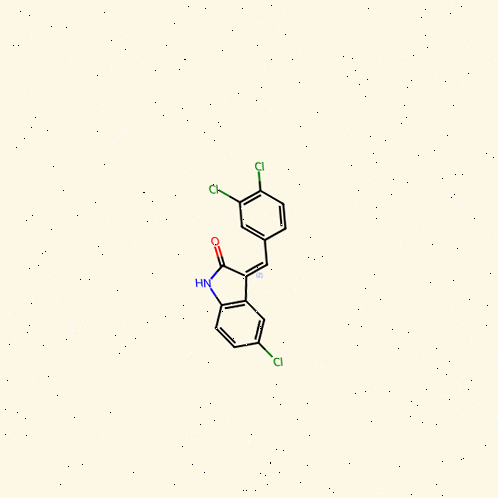 O=C1Nc2ccc(Cl)cc2/C1=C/c1ccc(Cl)c(Cl)c1